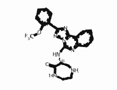 O=C1NCCNC[C@H]1Nc1nc2ccccc2c2nc(-c3ccccc3OC(F)(F)F)nn12